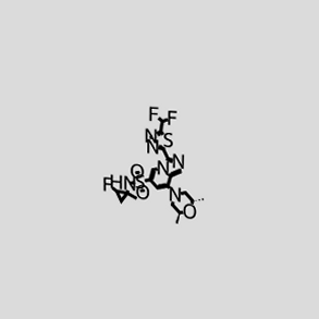 C[C@H]1CN(c2cc(S(=O)(=O)NC3(C)CC3F)cn3c(-c4nnc(C(F)F)s4)ncc23)C[C@H](C)O1